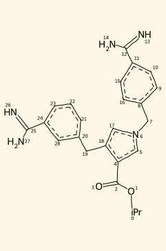 CC(C)OC(=O)c1cn(Cc2ccc(C(=N)N)cc2)cc1Cc1cccc(C(=N)N)c1